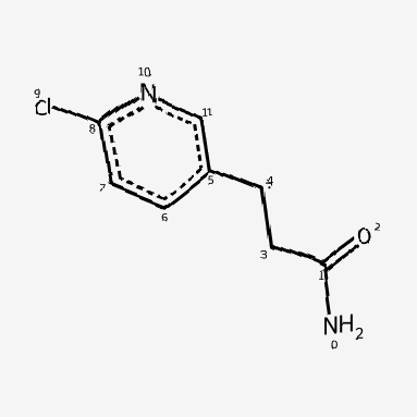 NC(=O)C[CH]c1ccc(Cl)nc1